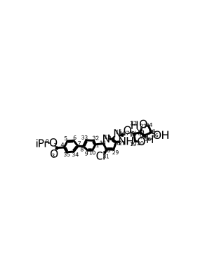 CC(C)OC(=O)c1ccc(-c2ccc(-c3nc4nc(O[C@@H]5CO[C@H]6[C@@H]5OC[C@H]6O)[nH]c4cc3Cl)cc2)cc1